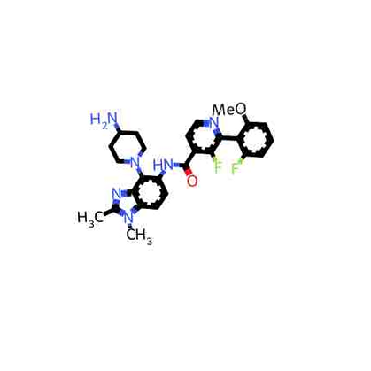 COc1cccc(F)c1-c1nccc(C(=O)Nc2ccc3c(nc(C)n3C)c2N2CCC(N)CC2)c1F